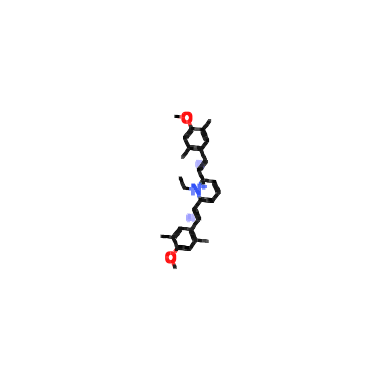 CC[n+]1c(/C=C/c2cc(C)c(OC)cc2C)cccc1/C=C/c1cc(C)c(OC)cc1C